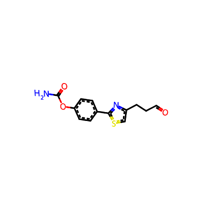 NC(=O)Oc1ccc(-c2nc(CCC=O)cs2)cc1